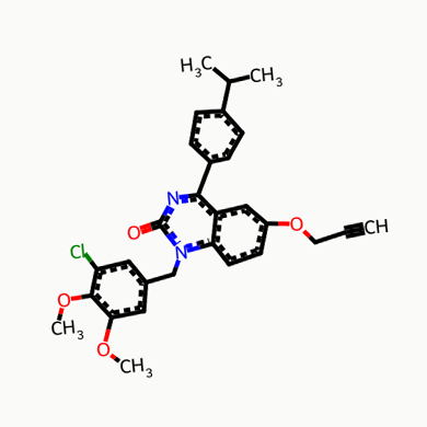 C#CCOc1ccc2c(c1)c(-c1ccc(C(C)C)cc1)nc(=O)n2Cc1cc(Cl)c(OC)c(OC)c1